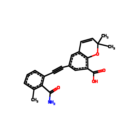 Cc1cccc(C#Cc2cc3c(c(C(=O)O)c2)OC(C)(C)C=C3)c1C(N)=O